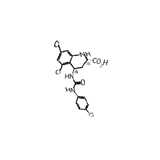 O=C(Nc1ccc(Cl)cc1)N[C@@H]1C[C@@H](C(=O)O)Nc2cc(Cl)cc(Cl)c21